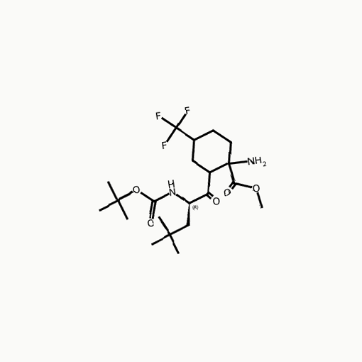 COC(=O)C1(N)CCC(C(F)(F)F)CC1C(=O)[C@@H](CC(C)(C)C)NC(=O)OC(C)(C)C